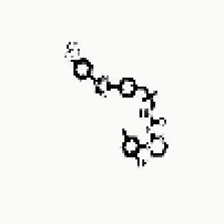 CCCc1ccc(C)cc1N1CCCS/C1=N\C(=O)NCC(C)(C)Cc1ccc(-c2ncn(-c3ccc(OC(F)(F)F)cc3)n2)cc1